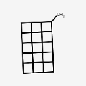 CC1C2C3CC4C5C6C7CC8C9CC%10C%11C%12C1C21C34C52C63C87C9%10C%113C%1212